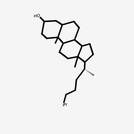 CC(C)CCC[C@@H](C)C1CCC2C3CCC4CC(O)CCC4(C)C3CCC21C